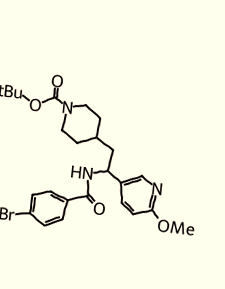 COc1ccc(C(CC2CCN(C(=O)OC(C)(C)C)CC2)NC(=O)c2ccc(Br)cc2)cn1